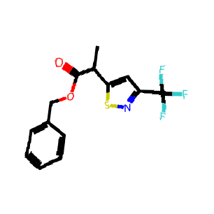 CC(C(=O)OCc1ccccc1)c1cc(C(F)(F)F)ns1